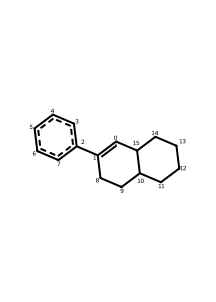 [C]1=C(c2ccccc2)CCC2CCCCC12